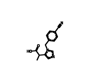 CC(C(=O)O)c1cncn1Cc1ccc(C#N)cc1